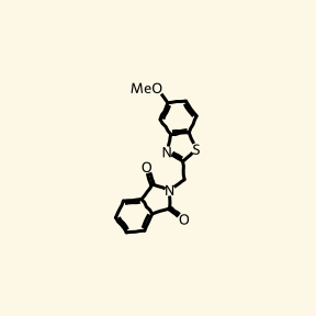 COc1ccc2sc(CN3C(=O)c4ccccc4C3=O)nc2c1